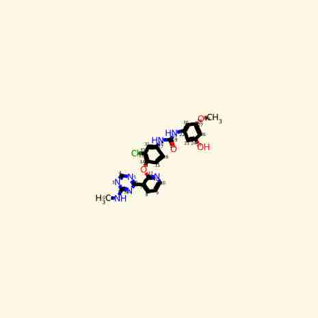 CNc1ncnc(-c2cccnc2Oc2ccc(NC(=O)Nc3cc(O)cc(OC)c3)cc2Cl)n1